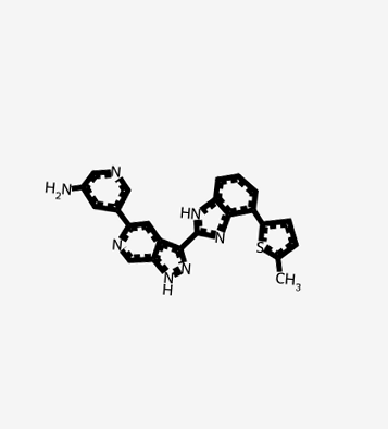 Cc1ccc(-c2cccc3[nH]c(-c4n[nH]c5cnc(-c6cncc(N)c6)cc45)nc23)s1